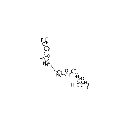 CC(C)(C)OC(=O)N1Cc2cccc(CC(=O)Nc3ccc(CCCCc4nnc(NC(=O)Cc5cccc(OC(F)(F)F)c5)s4)nn3)c2C1